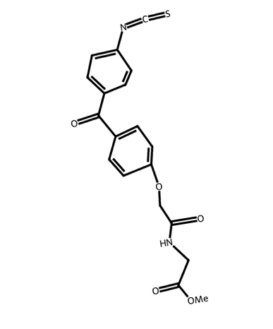 COC(=O)CNC(=O)COc1ccc(C(=O)c2ccc(N=C=S)cc2)cc1